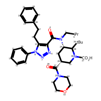 CC(C)CN(C(=O)c1nnn(-c2ccccc2)c1CCc1ccccc1)[C@H]1C[C@@H](C(=O)N2CCOCC2)CN(C(=O)O)C1C(C)(C)C